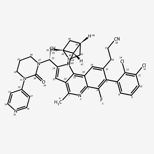 Cc1nc2c(F)c(-c3cccc(Cl)c3Cl)c(CCC#N)cc2c2c1cc([C@@H](C)N1CCCN(c3ccncc3)C1=O)n2[C@H]1[C@H]2CN[C@@H]1C2